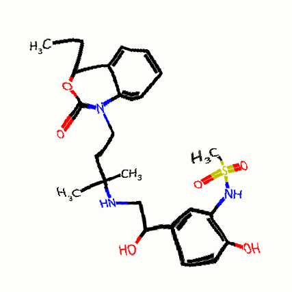 CCC1OC(=O)N(CCC(C)(C)NCC(O)c2ccc(O)c(NS(C)(=O)=O)c2)c2ccccc21